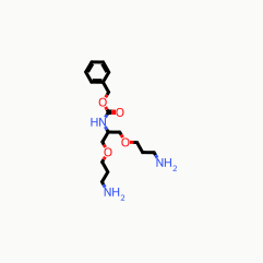 NCCCOCC(COCCCN)NC(=O)OCc1ccccc1